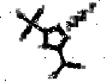 O=C([O-])c1ccc(S(=O)(=O)[O-])o1.[K+].[K+].[NaH].[NaH]